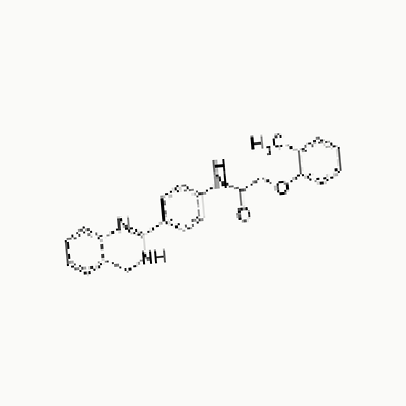 Cc1ccccc1OCC(=O)Nc1ccc(C2=Nc3ccccc3CN2)cc1